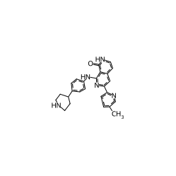 Cc1ccc(-c2cc3cc[nH]c(=O)c3c(Nc3ccc(C4CCNCC4)cc3)n2)nc1